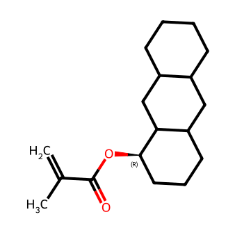 C=C(C)C(=O)O[C@@H]1CCCC2CC3CCCCC3CC21